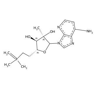 C=P(C)(C)CC[C@H]1OC(n2cnc3c(N)ccnc32)[C@](C)(O)[C@@H]1O